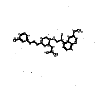 COc1ccc2nccc([C@H](F)CC[C@@H]3CCN(CCCc4cccc(Cl)c4)C[C@@H]3CC(=O)O)c2c1